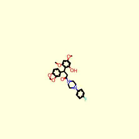 COc1cc(O)c(C(CC(=O)N2CCN(c3ccc(F)cc3)CC2)c2ccc3c(c2)OCO3)c(OC)c1